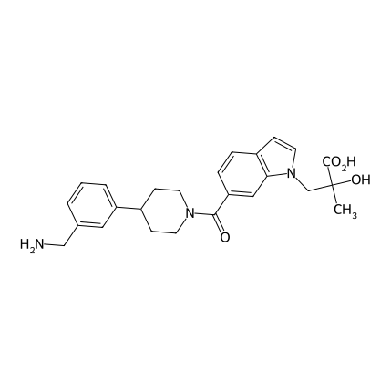 CC(O)(Cn1ccc2ccc(C(=O)N3CCC(c4cccc(CN)c4)CC3)cc21)C(=O)O